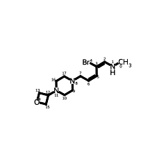 CN/C=C(Br)\C=C/CN1CCN(C2COC2)CC1